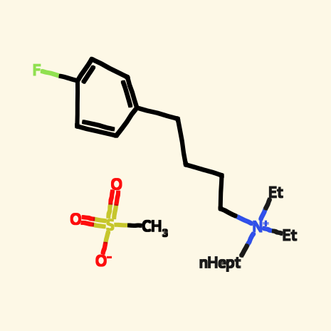 CCCCCCC[N+](CC)(CC)CCCCc1ccc(F)cc1.CS(=O)(=O)[O-]